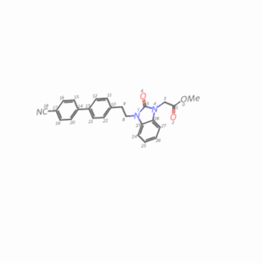 COC(=O)Cn1c(=O)n(CCc2ccc(-c3ccc(C#N)cc3)cc2)c2ccccc21